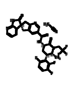 CC#N.C[C@@H]1[C@H](c2c(F)ccc(F)c2F)C[C@H](NC(=O)c2cnc3c(c2)C[C@@]2(C3)C(=O)Nc3ncccc32)C(=O)N1CC(F)(F)F